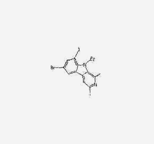 CCn1c2c(I)cc(Br)cc2c2cc(C)nc(C)c21